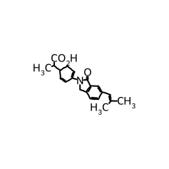 CC(C)=Cc1ccc2c(c1)C(=O)N(C1=CCC(C(C)C(=O)O)C=C1)C2